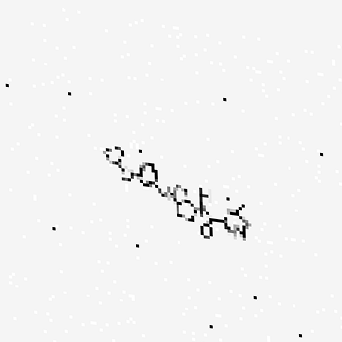 Cc1cncc(C(=O)NC2CCC3C2CCN3Cc2cccc(OC3CCCC3)c2)c1